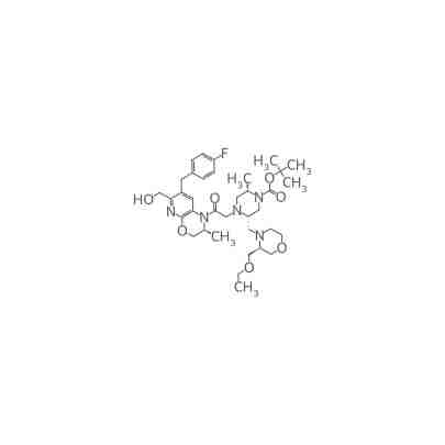 CCOC[C@@H]1COCCN1C[C@H]1CN(C(=O)OC(C)(C)C)[C@H](C)CN1CC(=O)N1c2cc(Cc3ccc(F)cc3)c(CO)nc2OC[C@@H]1C